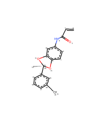 C=CC(=O)Nc1ccc2c(c1)O[C@](C)(c1cccc(C(F)(F)F)c1)O2